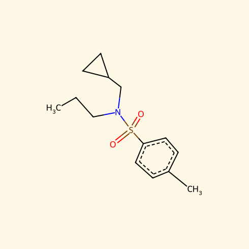 CCCN(CC1CC1)S(=O)(=O)c1ccc(C)cc1